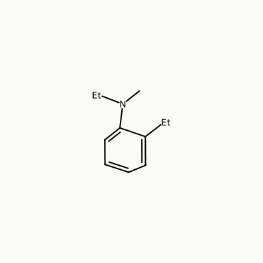 CCc1ccccc1N(C)CC